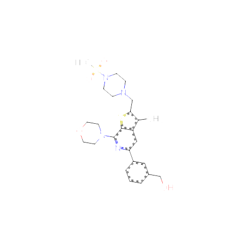 Cc1c(CN2CCN(S(C)(=O)=O)CC2)sc2c(N3CCOCC3)nc(-c3cccc(CO)c3)cc12